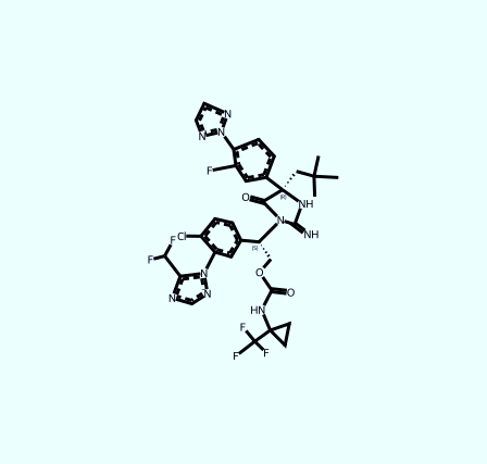 CC(C)(C)C[C@]1(c2ccc(-n3nccn3)c(F)c2)NC(=N)N([C@H](COC(=O)NC2(C(F)(F)F)CC2)c2ccc(Cl)c(-n3ncnc3C(F)F)c2)C1=O